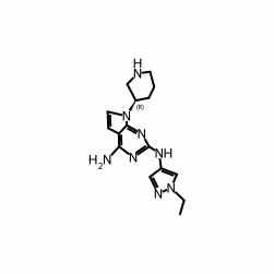 CCn1cc(Nc2nc(N)c3ccn([C@@H]4CCCNC4)c3n2)cn1